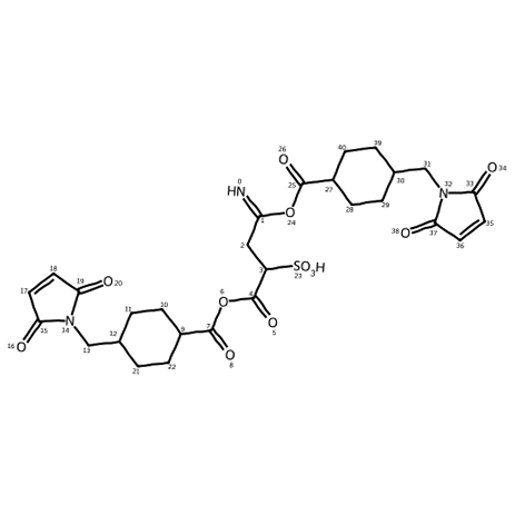 N=C(CC(C(=O)OC(=O)C1CCC(CN2C(=O)C=CC2=O)CC1)S(=O)(=O)O)OC(=O)C1CCC(CN2C(=O)C=CC2=O)CC1